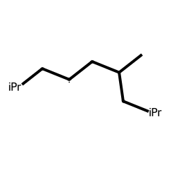 CC(C)C[CH]CC(C)CC(C)C